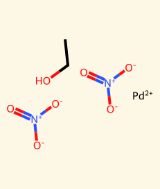 CCO.O=[N+]([O-])[O-].O=[N+]([O-])[O-].[Pd+2]